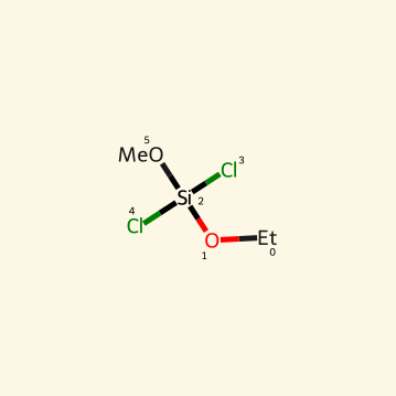 CCO[Si](Cl)(Cl)OC